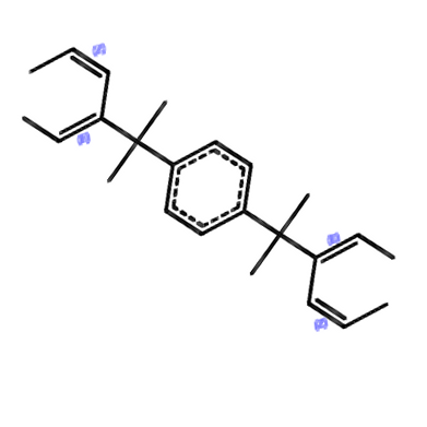 C/C=C\C(=C/C)C(C)(C)c1ccc(C(C)(C)C(/C=C\C)=C/C)cc1